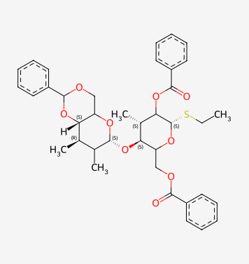 CCS[C@@H]1OC(COC(=O)c2ccccc2)[C@@H](O[C@H]2OC3COC(c4ccccc4)O[C@H]3[C@H](C)C2C)[C@H](C)C1OC(=O)c1ccccc1